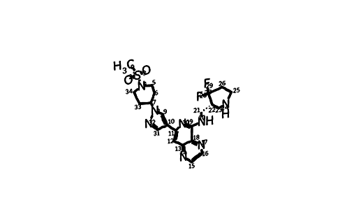 CS(=O)(=O)N1CCC(n2cc(-c3cc4nccnc4c(NC[C@H]4CNCCC4(F)F)n3)cn2)CC1